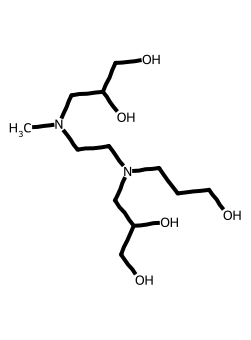 CN(CCN(CCCO)CC(O)CO)CC(O)CO